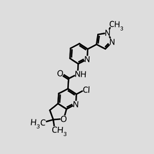 Cn1cc(-c2cccc(NC(=O)c3cc4c(nc3Cl)OC(C)(C)C4)n2)cn1